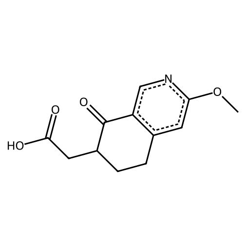 COc1cc2c(cn1)C(=O)C(CC(=O)O)CC2